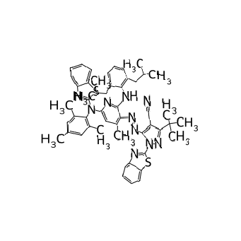 Cc1cc(C)c(N(c2cc(C)c(N=Nc3c(C#N)c(C(C)(C)C)nn3-c3nc4ccccc4s3)c(Nc3c(CC(C)C)cccc3CC(C)C)n2)c2nc3ccccc3s2)c(C)c1